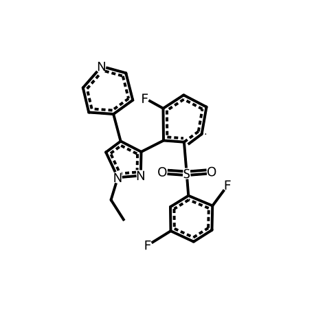 CCn1cc(-c2ccncc2)c(-c2c(S(=O)(=O)c3cc(F)ccc3F)[c]ccc2F)n1